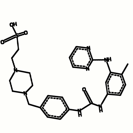 Cc1ccc(NC(=O)Nc2ccc(CN3CCN(CCS(=O)(=O)O)CC3)cc2)cc1Nc1ncccn1